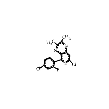 Cc1nc2cc(Cl)nc(-c3ccc(Cl)cc3F)c2nc1C